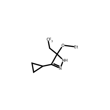 CCOC1(CC(F)(F)F)NN=C1C1CC1